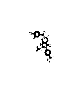 CNC(=O)c1ccc(-n2c(NC(C)C)nc3c(c2=O)C[C@@H](C)N(C(=O)c2ccc(Cl)c(C)c2)C3)cc1